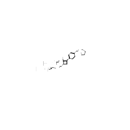 COCCN(CC1CC(c2ccc(CN3CCCC3)cc2)C1)C(C)(C)C